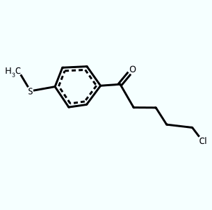 CSc1ccc(C(=O)CCCCCl)cc1